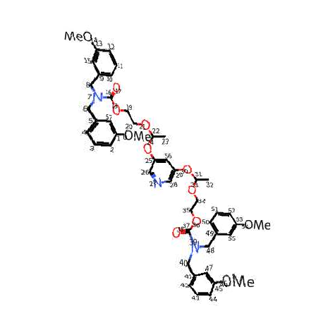 COc1cccc(CN(Cc2cccc(OC)c2)C(=O)OCCOC(C)Oc2cncc(OC(C)OCCOC(=O)N(Cc3cccc(OC)c3)Cc3cccc(OC)c3)c2)c1